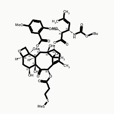 COc1ccc(OC)c(C(=O)O[C@H]2[C@@H]3[C@]4(OC(C)=O)CO[C@@H]4C[C@H](O)[C@@]3(C)C(=O)[C@H](OC(=O)CCSSC)C3=C(C)C[C@@H](OC(=O)[C@H](O)[C@H](C=C(C)C)NC(=O)OC(C)(C)C)[C@]2(O)C3(C)C)c1